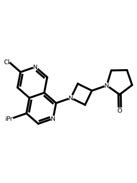 CC(C)c1cnc(N2CC(N3CCCC3=O)C2)c2cnc(Cl)cc12